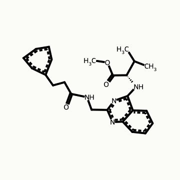 COC(=O)[C@@H](Nc1nc(CNC(=O)CCc2ccccc2)nc2ccccc12)C(C)C